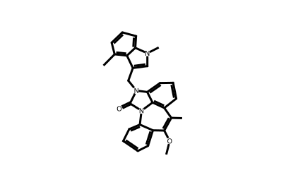 COC1=C(C)c2cccc3c2n(c(=O)n3Cc2cn(C)c3cccc(C)c23)-c2ccccc21